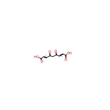 O=C(O)/C=C/C(=O)CC(=O)/C=C/C(=O)O